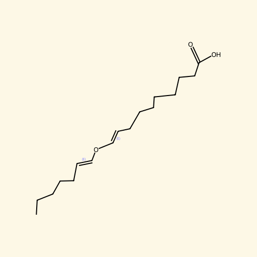 CCCCC/C=C/O/C=C/CCCCCCCC(=O)O